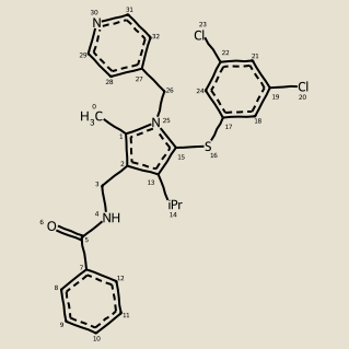 Cc1c(CNC(=O)c2ccccc2)c(C(C)C)c(Sc2cc(Cl)cc(Cl)c2)n1Cc1ccncc1